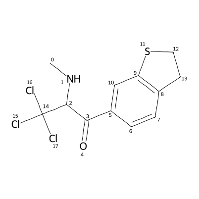 CNC(C(=O)c1ccc2c(c1)SCC2)C(Cl)(Cl)Cl